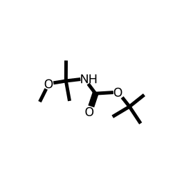 COC(C)(C)NC(=O)OC(C)(C)C